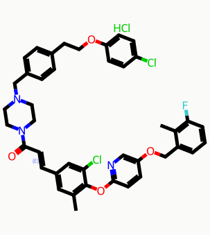 Cc1cc(/C=C/C(=O)N2CCN(Cc3ccc(CCOc4ccc(Cl)cc4)cc3)CC2)cc(Cl)c1Oc1ccc(OCc2cccc(F)c2C)cn1.Cl